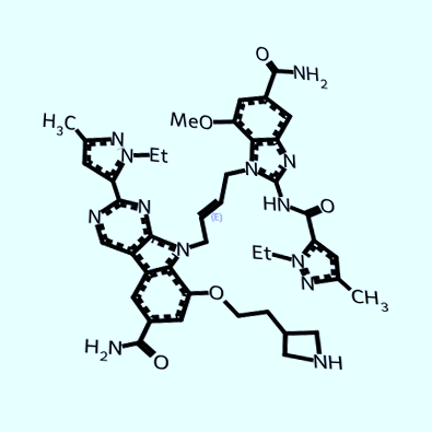 CCn1nc(C)cc1C(=O)Nc1nc2cc(C(N)=O)cc(OC)c2n1C/C=C/Cn1c2nc(-c3cc(C)nn3CC)ncc2c2cc(C(N)=O)cc(OCCC3CNC3)c21